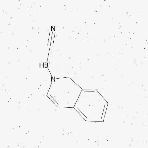 N#CBN1C=Cc2ccccc2C1